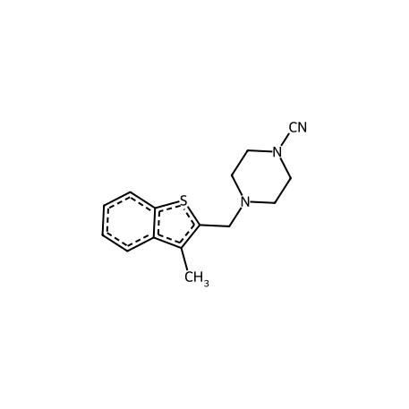 Cc1c(CN2CCN(C#N)CC2)sc2ccccc12